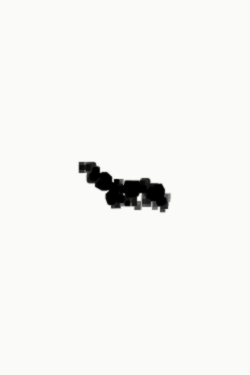 Nc1nccc2c(C3=CCN(C(=O)CO)CC3)nc(-c3ccc(C(=O)Nc4cc(C(F)(F)F)ccn4)cc3)n12